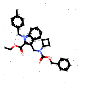 CCOC(=O)c1c(CN(C(=O)OCc2ccccc2)C2CCC2)c2ccccc2n1Cc1ccc(C)cc1